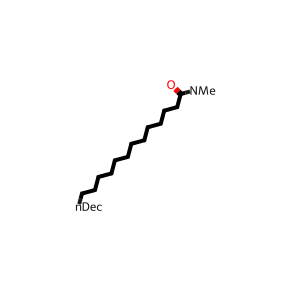 CCCCCCCCCCCCCCCCCCCCCCC(=O)NC